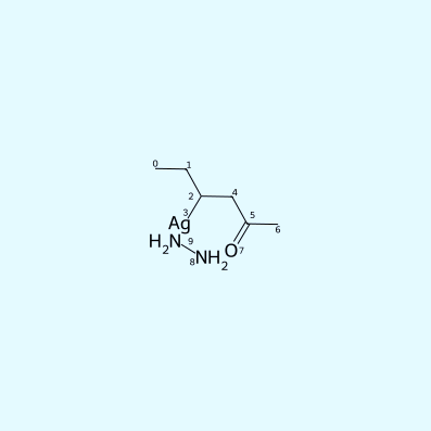 CC[CH]([Ag])CC(C)=O.NN